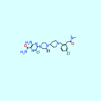 CC[C@H]1CN(c2nc(N)c(C(N)=O)nc2Cl)CCN1C1CCN(Cc2ccc(Cl)cc2CC(=O)N(C)C)CC1